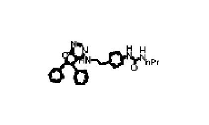 CCCNC(=O)Nc1ccc(CCNc2ncnc3oc(-c4ccccc4)c(-c4ccccc4)c23)cc1